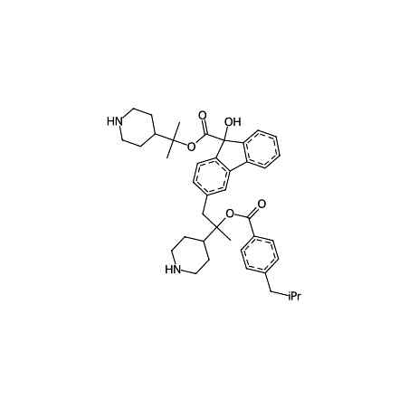 CC(C)Cc1ccc(C(=O)OC(C)(Cc2ccc3c(c2)-c2ccccc2C3(O)C(=O)OC(C)(C)C2CCNCC2)C2CCNCC2)cc1